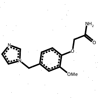 COc1cc(Cn2ccnc2)ccc1OCC(N)=O